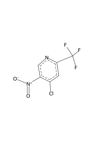 O=[N+]([O-])c1cnc(C(F)(F)F)cc1Cl